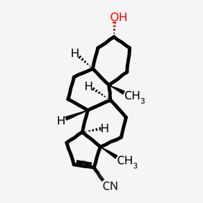 C[C@]12CC[C@@H](O)C[C@@H]1CC[C@@H]1[C@@H]2CC[C@]2(C)C(C#N)=CC[C@@H]12